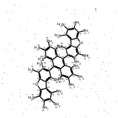 Bc1c(B)c(B)c2c(oc3c(B)c(B)c(-c4c5c(B)c(B)c(B)c(B)c5c(-c5c(B)c(B)c6oc7c(B)c(B)c(B)c(B)c7c6c5B)c5c(B)c(B)c(B)c(B)c45)c(B)c32)c1B